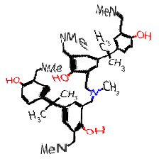 CNCc1cc(C(C)(C)c2cc(CNC)c(O)c(CN(C)Cc3cc(C(C)(C)c4ccc(O)c(CNC)c4)cc(CNC)c3O)c2)ccc1O